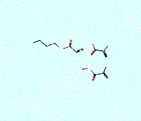 C=C(C)C(=O)O.C=C(C)C(=O)OC.C=CC(=O)OCCCC